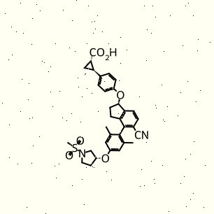 Cc1cc(O[C@@H]2CCN(S(C)(=O)=O)C2)cc(C)c1-c1c(C#N)ccc2c1CC[C@H]2Oc1ccc([C@H]2C[C@@H]2C(=O)O)cc1